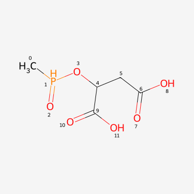 C[PH](=O)OC(CC(=O)O)C(=O)O